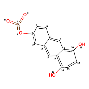 O=[SH](=O)Oc1ccc2cc3c(O)ccc(O)c3cc2c1